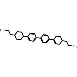 CCCC1CC=C(c2ccc(-c3ccc(C4CCC(CCC)CC4)cc3)cc2)CC1